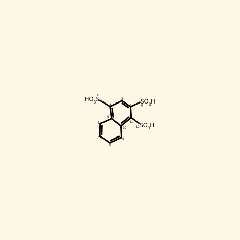 O=S(=O)(O)c1[c]c(S(=O)(=O)O)c2ccccc2c1S(=O)(=O)O